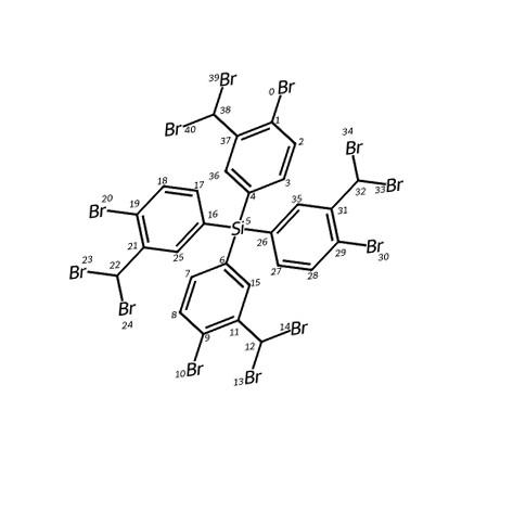 Brc1ccc([Si](c2ccc(Br)c(C(Br)Br)c2)(c2ccc(Br)c(C(Br)Br)c2)c2ccc(Br)c(C(Br)Br)c2)cc1C(Br)Br